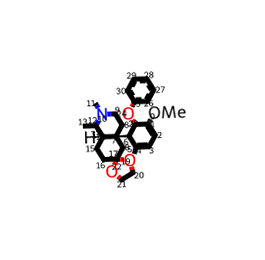 COC1=CC=C(C)C([C@]23CCN(C)C(C)[C@@H]2CCC2(C3)OCCO2)C1Oc1ccccc1